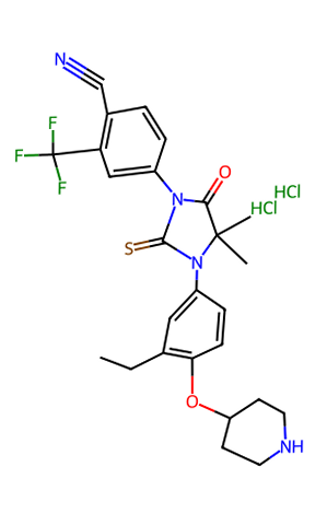 CCc1cc(N2C(=S)N(c3ccc(C#N)c(C(F)(F)F)c3)C(=O)C2(C)C)ccc1OC1CCNCC1.Cl.Cl